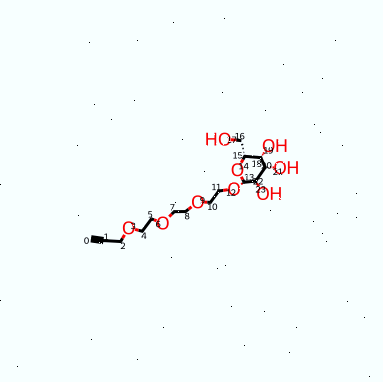 C#CCOCCOCCOCCO[C@@H]1O[C@H](CO)[C@H](O)[C@H](O)[C@H]1O